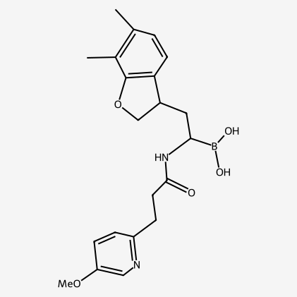 COc1ccc(CCC(=O)NC(CC2COc3c2ccc(C)c3C)B(O)O)nc1